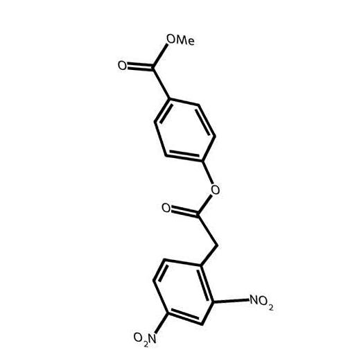 COC(=O)c1ccc(OC(=O)Cc2ccc([N+](=O)[O-])cc2[N+](=O)[O-])cc1